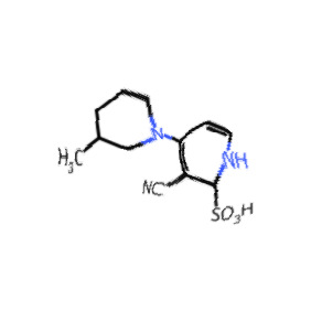 CC1CCCN(C2=C(C#N)C(S(=O)(=O)O)NC=C2)C1